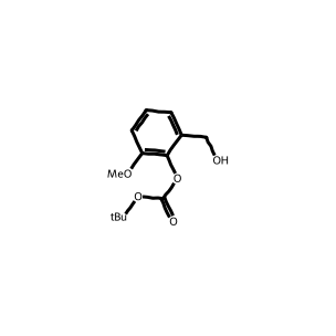 COc1cccc(CO)c1OC(=O)OC(C)(C)C